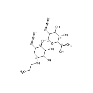 CCCN[C@@H]1CC(N=[N+]=[N-])[C@@H](O[C@H]2OC([C@@H](C)O)[C@@H](O)C(O)C2N=[N+]=[N-])C(O)C1O